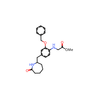 COC(=O)CNc1ccc(CC2CCCCC(=O)N2)cc1OCc1ccccc1